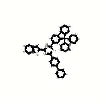 c1ccc(-c2ccc(-c3nc(-c4ccc5c(c4)C(c4ccccc4)(c4ccccc4)c4ccccc4-5)nc(-c4cc5ccccc5o4)n3)cc2)cc1